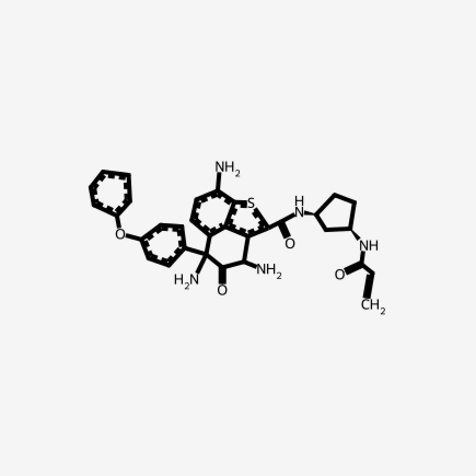 C=CC(=O)N[C@@H]1CC[C@H](NC(=O)c2sc3c(N)ccc4c3c2C(N)C(=O)C4(N)c2ccc(Oc3ccccc3)cc2)C1